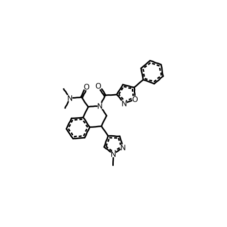 CN(C)C(=O)C1c2ccccc2C(c2cnn(C)c2)CN1C(=O)c1cc(-c2ccccc2)on1